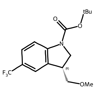 COC[C@H]1CN(C(=O)OC(C)(C)C)c2ccc(C(F)(F)F)cc21